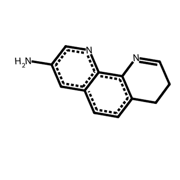 Nc1cnc2c3c(ccc2c1)CCC=N3